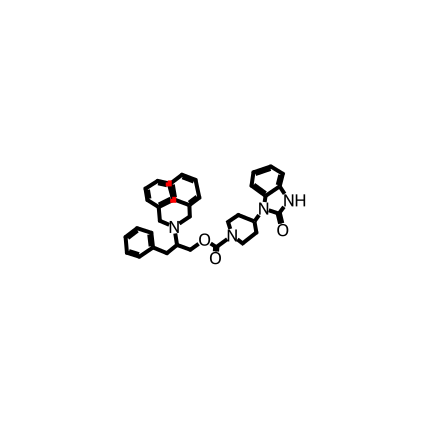 O=C(OCC(Cc1ccccc1)N(Cc1ccccc1)Cc1ccccc1)N1CCC(n2c(=O)[nH]c3ccccc32)CC1